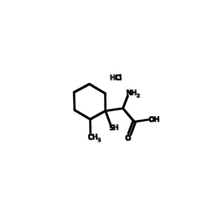 CC1CCCCC1(S)C(N)C(=O)O.Cl